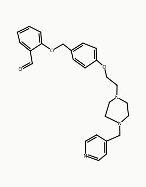 O=Cc1ccccc1OCc1ccc(OCCN2CCN(Cc3ccncc3)CC2)cc1